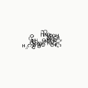 CCCC(=O)N1C[C@@H](NC(=O)c2cccc(C(=O)N[C@H]3C[C@@H](C(=O)N[C@@H]4CCCc5ccccc54)N(C(=O)[C@@H](NC(=O)[C@H](C)NC)[C@@H](C)O)C3)c2)C[C@H]1C(=O)NC1CCCc2ccccc21